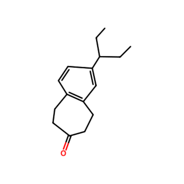 CCC(CC)c1ccc2c(c1)CCC(=O)CC2